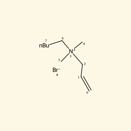 C=CC[N+](C)(C)CCCCC.[Br-]